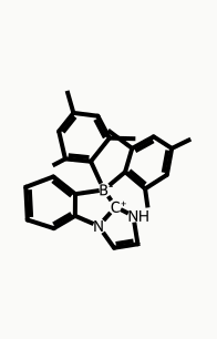 Cc1cc(C)c([B-]2(c3c(C)cc(C)cc3C)c3ccccc3-n3cc[nH][c+]32)c(C)c1